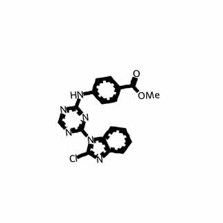 COC(=O)c1ccc(Nc2ncnc(-n3c(Cl)nc4ccccc43)n2)cc1